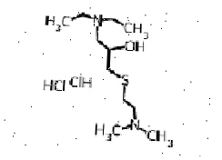 CCN(CC)CC(O)CSCCN(C)C.Cl.Cl